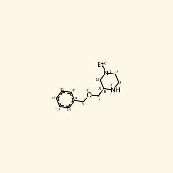 CCN1CCN[C@@H](COCc2ccccc2)C1